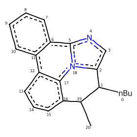 CCCCC1c2cnc3c4ccccc4c4cccc(c4n23)C1C